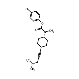 CN(C)CC#C[C@H]1CC[C@H](N(C)C(=O)Oc2ccc(Cl)cc2)CC1